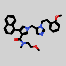 COCCN(C)C(=O)c1cn(Cc2cncn2CCc2ccccc2OC)cc1-c1cccc2ccccc12